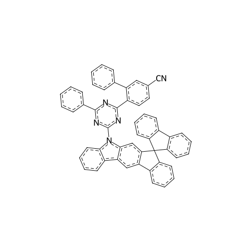 N#Cc1ccc(-c2nc(-c3ccccc3)nc(-n3c4ccccc4c4cc5c(cc43)C3(c4ccccc4-c4ccccc43)c3ccccc3-5)n2)c(-c2ccccc2)c1